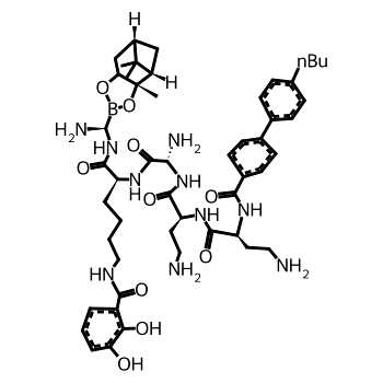 CCCCc1ccc(-c2ccc(C(=O)N[C@@H](CCN)C(=O)N[C@@H](CCN)C(=O)N[C@@H](N)C(=O)N[C@@H](CCCCNC(=O)c3cccc(O)c3O)C(=O)N[C@@H](N)B3OC4C[C@@H]5C[C@@H](C5(C)C)[C@]4(C)O3)cc2)cc1